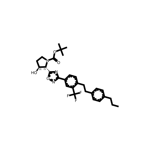 CCCc1ccc(CCc2ccc(-c3noc([C@@H]4[C@@H](O)CCN4C(=O)OC(C)(C)C)n3)cc2C(F)(F)F)cc1